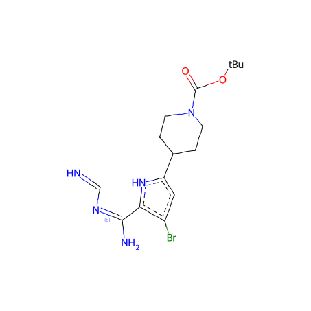 CC(C)(C)OC(=O)N1CCC(c2cc(Br)c(/C(N)=N\C=N)[nH]2)CC1